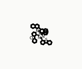 c1ccc(-c2nc(-c3cccc4c3sc3ccccc34)nc(-c3c(-n4c5cc6ccccc6cc5c5ccc6ccccc6c54)ccc4oc5ccccc5c34)n2)cc1